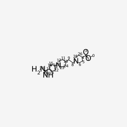 COC(=O)C1CCN(CCC2CCN(c3ccc(C(=N)N)cc3)CC2)CC1